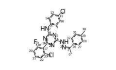 CC(=NNc1nc(Nc2ccc(Cl)cc2)nc(-c2c(F)cccc2Cl)n1)c1ccc(C)cc1